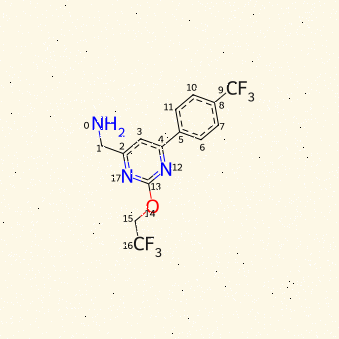 NCc1cc(-c2ccc(C(F)(F)F)cc2)nc(OCC(F)(F)F)n1